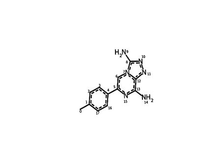 Cc1ccc(-c2cn3c(N)nnc3c(N)n2)cc1